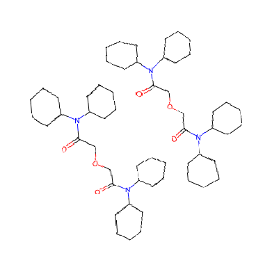 O=C(COCC(=O)N(C1CCCCC1)C1CCCCC1)N(C1CCCCC1)C1CCCCC1.O=C(COCC(=O)N(C1CCCCC1)C1CCCCC1)N(C1CCCCC1)C1CCCCC1